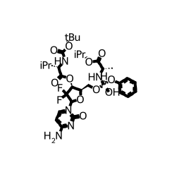 CC(C)OC(=O)[C@H](C)N[PH](O)(OC[C@H]1OC(n2ccc(N)nc2=O)C(F)(F)[C@@H]1OC(=O)[C@@H](NC(=O)OC(C)(C)C)C(C)C)Oc1ccccc1